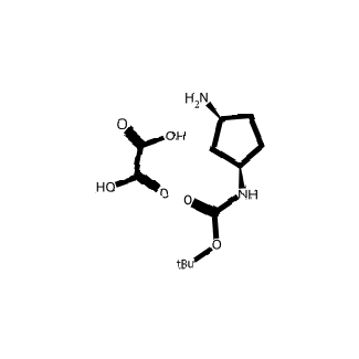 CC(C)(C)OC(=O)N[C@@H]1CC[C@H](N)C1.O=C(O)C(=O)O